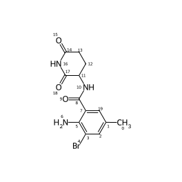 Cc1cc(Br)c(N)c(C(=O)NC2CCC(=O)NC2=O)c1